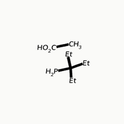 CC(=O)O.CCC(P)(CC)CC